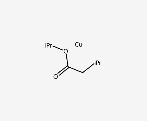 CC(C)CC(=O)OC(C)C.[Cu]